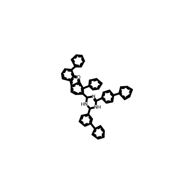 c1ccc(-c2ccc(C3=NC(c4ccc5c(oc6c(-c7ccccc7)cccc65)c4-c4ccccc4)NC(c4cccc(-c5ccccc5)c4)N3)cc2)cc1